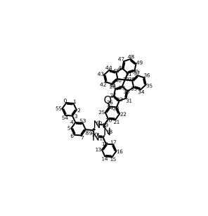 c1ccc(-c2cccc(-c3nc(-c4ccccc4)nc(-c4ccc5c(c4)oc4cc6c(cc45)-c4ccccc4C64c5ccccc5-c5ccccc54)n3)c2)cc1